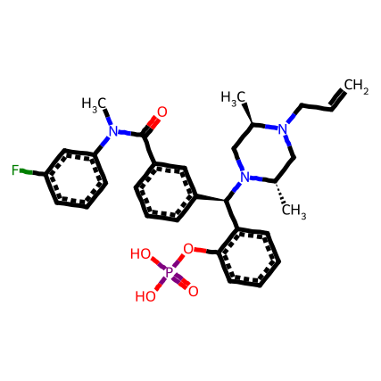 C=CCN1C[C@H](C)N([C@H](c2cccc(C(=O)N(C)c3cccc(F)c3)c2)c2ccccc2OP(=O)(O)O)C[C@H]1C